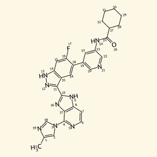 Cc1cn(-c2nccc3[nH]c(-c4n[nH]c5cc(F)c(-c6cncc(NC(=O)C7CCCCC7)c6)cc45)nc23)cn1